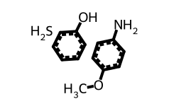 COc1ccc(N)cc1.Oc1ccccc1.S